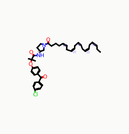 CC/C=C\C/C=C\C/C=C\C/C=C\C/C=C\CCCC(=O)N1CC[C@H](NC(=O)C(C)(C)Oc2ccc(C(=O)c3ccc(Cl)cc3)cc2)C1